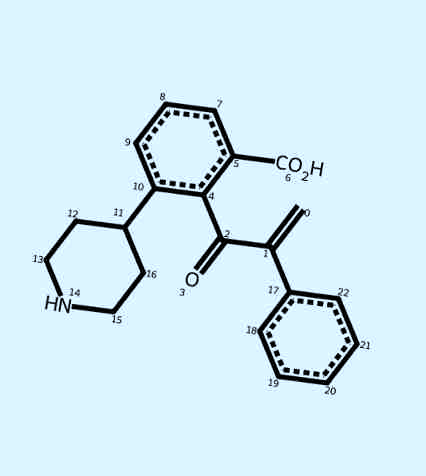 C=C(C(=O)c1c(C(=O)O)cccc1C1CCNCC1)c1ccccc1